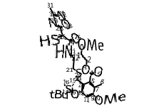 COCCOC(=O)c1c(C)c(OC)cc(O[Si](C)(C)C(C)(C)C)c1CSCCNC(=O)C(S)c1nc(C)no1